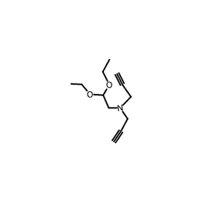 C#CCN(CC#C)CC(OCC)OCC